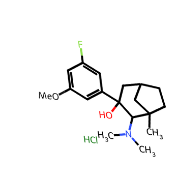 COc1cc(F)cc(C2(O)CC3CCC(C)(C3)C2N(C)C)c1.Cl